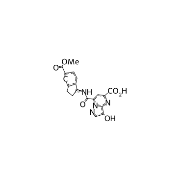 COC(=O)c1ccc2c(c1)CC[C@@H]2NC(=O)c1cc(C(=O)O)nc2c(O)cnn12